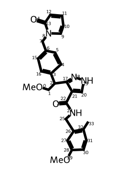 COCC(c1ccc(Cn2ccccc2=O)cc1)c1n[nH]cc1C(=O)NCc1cc(OC)ccc1C